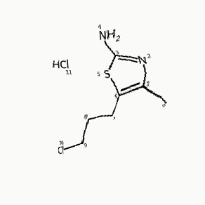 Cc1nc(N)sc1CCCCl.Cl